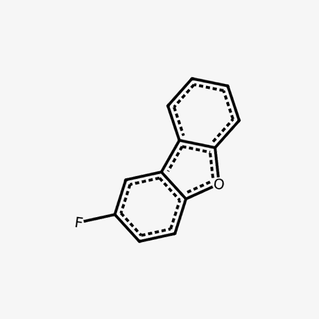 Fc1ccc2oc3ccccc3c2c1